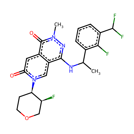 CC(Nc1nn(C)c(=O)c2cc(=O)n([C@@H]3CCOC[C@@H]3F)cc12)c1cccc(C(F)F)c1F